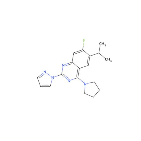 CC(C)c1cc2c(N3CCCC3)nc(-n3cccn3)nc2cc1F